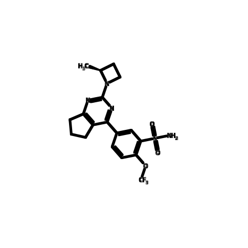 C[C@H]1CCN1c1nc2c(c(-c3ccc(OC(F)(F)F)c(S(N)(=O)=O)c3)n1)CCC2